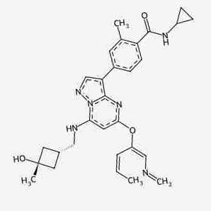 C=N/C=C(\C=C/C)Oc1cc(NC[C@H]2C[C@@](C)(O)C2)n2ncc(-c3ccc(C(=O)NC4CC4)c(C)c3)c2n1